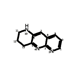 c1cnc2nc3c(cc2c1)NCCC3